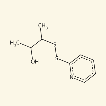 CC(O)C(C)SSc1ccccn1